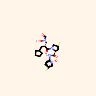 O=CN(O)C[C@@H](CC1CCCC1)C(=O)N1C[C@H](F)C[C@H]1C(=O)Nc1ccc(F)c[n+]1[O-]